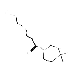 CC(=O)CCOCCC(=O)N1CCC(C)(C)CC1